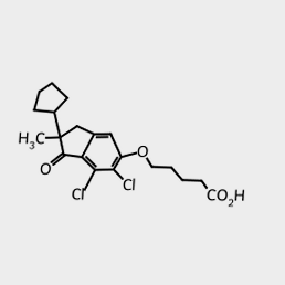 CC1(C2CCCC2)Cc2cc(OCCCCC(=O)O)c(Cl)c(Cl)c2C1=O